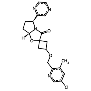 Cc1cc(Cl)cnc1COC1CC2(C1)O[C@@H]1CC[C@@H](c3cnccn3)N1C2=O